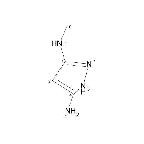 CNc1cc(N)[nH]n1